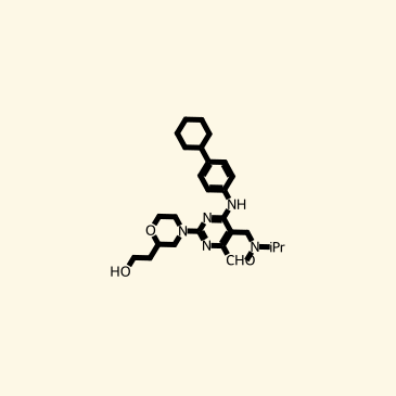 CC(C)N(C)Cc1c(C=O)nc(N2CCOC(CCO)C2)nc1Nc1ccc(C2CCCCC2)cc1